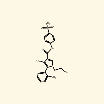 Cc1ccccc1-c1c(C)c(C(=O)Nc2ccc(S(C)(=O)=O)cc2)cn1CCO